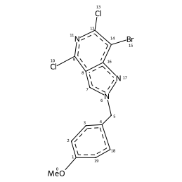 COc1ccc(Cn2cc3c(Cl)nc(Cl)c(Br)c3n2)cc1